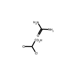 NC(N)=O.O=C(O)C(Cl)Cl